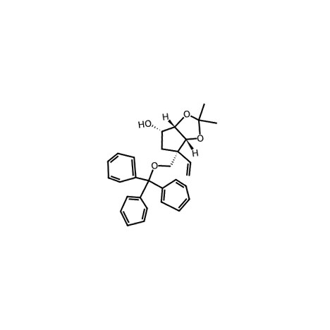 C=C[C@@]1(COC(c2ccccc2)(c2ccccc2)c2ccccc2)C[C@H](O)[C@@H]2OC(C)(C)O[C@@H]21